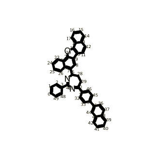 c1ccc(C2=NC(c3cc4c5ccc6ccccc6c5oc4c4ccccc34)CCC(c3ccc(-c4ccc5ccccc5c4)cc3)=N2)cc1